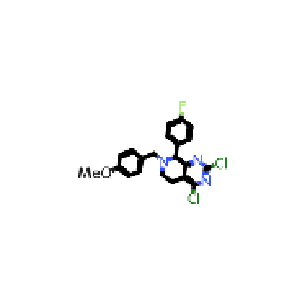 COc1ccc(CN2CCc3c(Cl)nc(Cl)nc3C2c2ccc(F)cc2)cc1